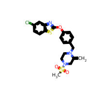 C=C1CN(S(C)(=O)=O)CCN1Cc1ccc(Oc2nc3cc(Cl)ccc3s2)cc1